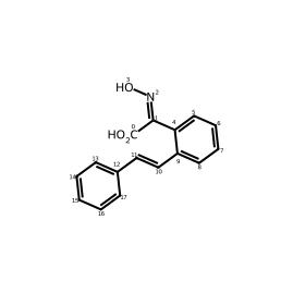 O=C(O)/C(=N\O)c1ccccc1/C=C/c1ccccc1